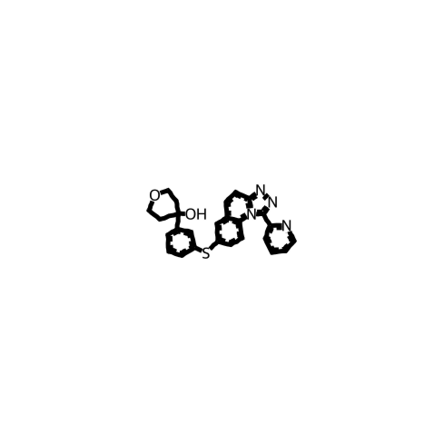 OC1(c2cccc(Sc3ccc4c(ccc5nnc(-c6ccccn6)n54)c3)c2)CCOCC1